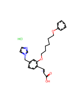 Cl.O=C(O)/C=C/c1ccc(Cn2ccnc2)cc1OCCCCCCOc1ccccc1